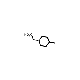 O=C(O)CN1CCC(F)CC1